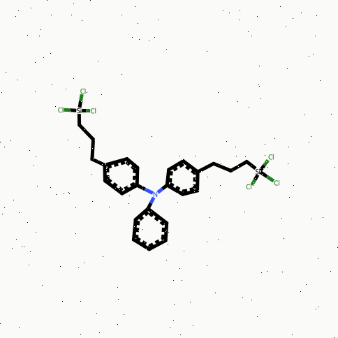 Cl[Si](Cl)(Cl)CCCc1ccc(N(c2ccccc2)c2ccc(CCC[Si](Cl)(Cl)Cl)cc2)cc1